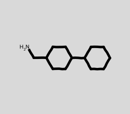 NCC1CCC(C2CCCCC2)CC1